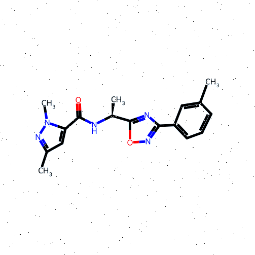 Cc1cccc(-c2noc([C@H](C)NC(=O)c3cc(C)nn3C)n2)c1